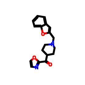 O=C(c1ncco1)C1CCN(Cc2cc3ccccc3o2)CC1